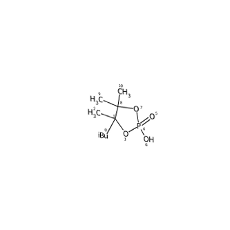 CCC(C)C1(C)OP(=O)(O)OC1(C)C